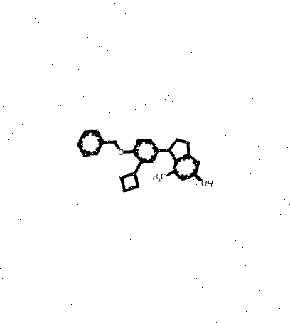 Cc1cc(O)cc2c1C(c1ccc(OCc3ccccc3)c(C3CCC3)c1)CC2